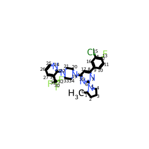 CC1CCCN1c1nc(-c2ccc(F)c(Cl)c2)cc(N2CCN(c3ncccc3C(F)(F)F)CC2)n1